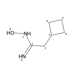 N=C(CC1CCC1)NO